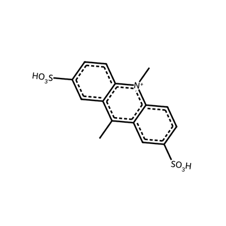 Cc1c2cc(S(=O)(=O)O)ccc2[n+](C)c2ccc(S(=O)(=O)O)cc12